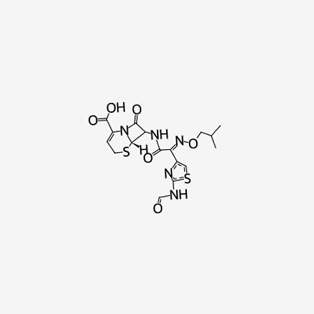 CC(C)CON=C(C(=O)NC1C(=O)N2C(C(=O)O)=CCS[C@@H]12)c1csc(NC=O)n1